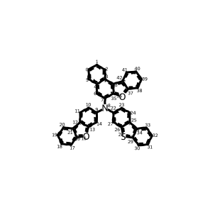 c1ccc2c(c1)cc(N(c1ccc3c(c1)oc1ccccc13)c1ccc3c(c1)sc1ccccc13)c1oc3ccccc3c12